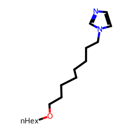 CCCCCCOCCCCCCCCn1ccnc1